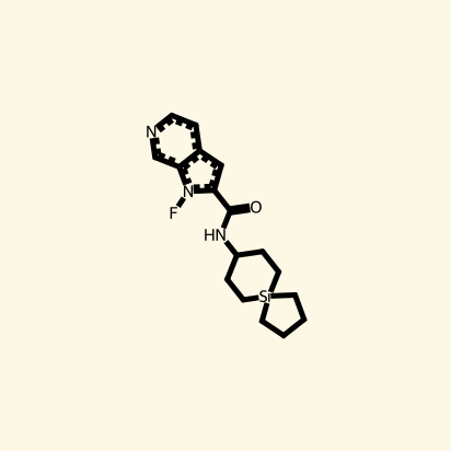 O=C(NC1CC[Si]2(CCCC2)CC1)c1cc2ccncc2n1F